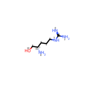 N=C(N)NCCC[C@H](N)CO